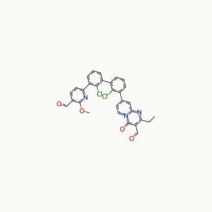 CCc1nc2cc(-c3cccc(-c4cccc(-c5ccc(C=O)c(OC)n5)c4Cl)c3Cl)ccn2c(=O)c1C=O